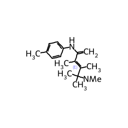 C=C(Nc1ccc(C)cc1)/C(C)=C(\C)C(C)(C)NC